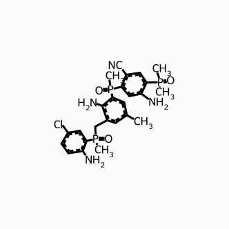 Cc1cc(CP(C)(=O)c2cc(Cl)ccc2N)c(N)c(P(C)(=O)c2cc(N)c(P(C)(C)=O)cc2C#N)c1